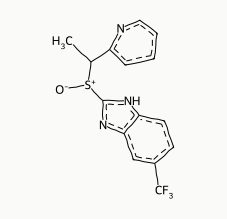 CC(c1ccccn1)[S+]([O-])c1nc2cc(C(F)(F)F)ccc2[nH]1